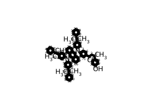 CC(CC(C)c1ccc(N(c2ccc(C(C)(C)c3ccccc3)cc2)c2c3ccccc3c(N(c3ccc(C(C)(C)c4ccccc4)cc3)c3ccc(C(C)(C)c4ccccc4)cc3)c3ccccc23)cc1)c1ccc(O)cc1